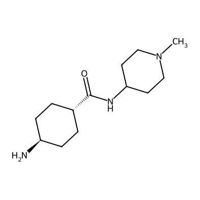 CN1CCC(NC(=O)[C@H]2CC[C@H](N)CC2)CC1